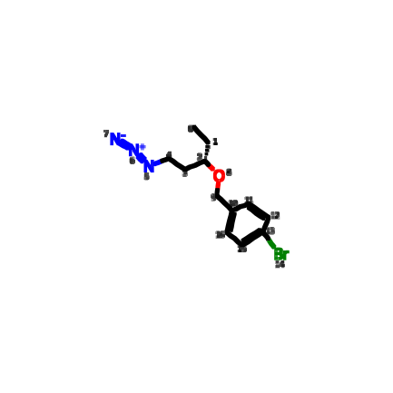 CC[C@@H](CCN=[N+]=[N-])OCc1ccc(Br)cc1